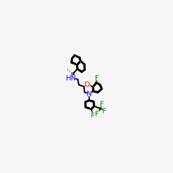 C[C@@H](NCCC1CN(c2ccc(F)c(C(F)(F)F)c2)c2cccc(F)c2O1)c1cccc2ccccc12